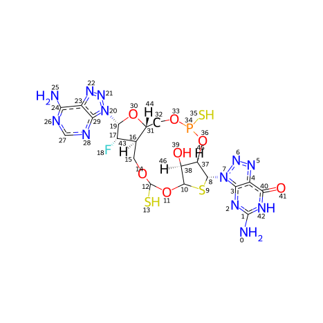 Nc1nc2c(nnn2[C@@H]2SC3OC(S)OC[C@H]4[C@H](F)[C@H](n5nnc6c(N)ncnc65)O[C@@H]4COP(S)O[C@@H]2[C@@H]3O)c(=O)[nH]1